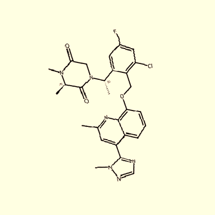 Cc1cc(-c2ncnn2C)c2cccc(OCc3c(Cl)cc(F)cc3[C@H](C)N3CC(=O)N(C)[C@H](C)C3=O)c2n1